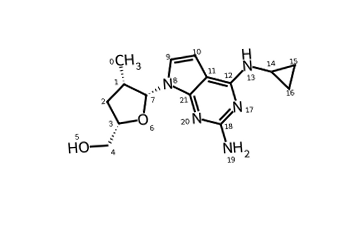 C[C@H]1C[C@@H](CO)O[C@H]1n1ccc2c(NC3CC3)nc(N)nc21